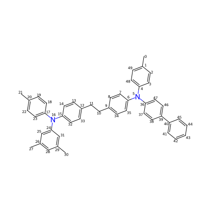 Cc1ccc(N(c2ccc(CCc3ccc(N(c4ccc(C)cc4)c4cc(C)cc(C)c4)cc3)cc2)c2ccc(-c3ccccc3)cc2)cc1